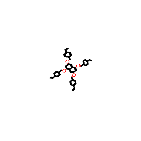 C=Cc1ccc(COc2cc(OCc3ccc(CC)cc3)c3cc(OCc4ccc(C=C)cc4)cc(OCc4ccc(C=C)cc4)c3c2)cc1